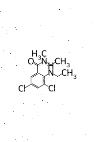 CCNc1c(Cl)cc(Cl)cc1C(=O)N(C)CC